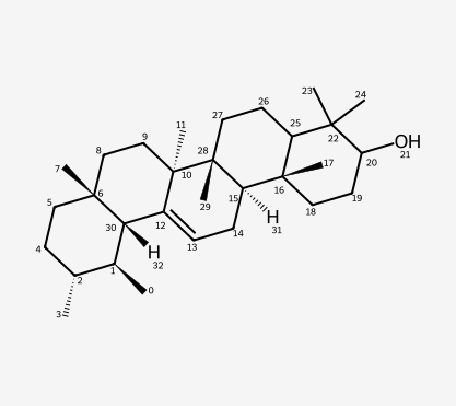 C[C@H]1[C@H](C)CC[C@]2(C)CC[C@]3(C)C(=CC[C@@H]4[C@@]5(C)CCC(O)C(C)(C)C5CC[C@]43C)[C@H]12